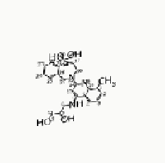 Cc1cccc2c(NCC(O)CO)cc(N3CCS(O)(O)c4ccccc4C3)nc12